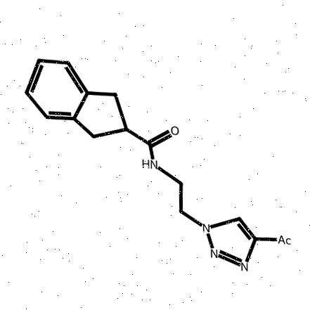 CC(=O)c1cn(CCNC(=O)C2Cc3ccccc3C2)nn1